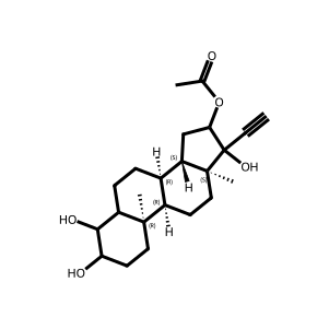 C#CC1(O)C(OC(C)=O)C[C@H]2[C@@H]3CCC4C(O)C(O)CC[C@]4(C)[C@@H]3CC[C@@]21C